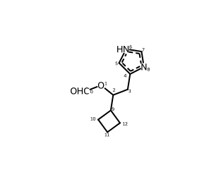 O=COC(Cc1c[nH]cn1)C1CCC1